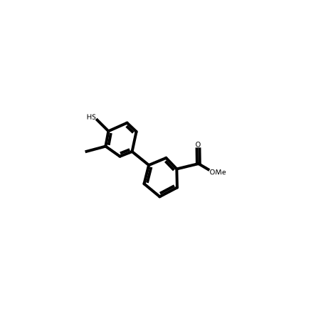 COC(=O)c1cccc(-c2ccc(S)c(C)c2)c1